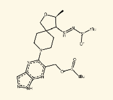 C[C@@H]1OCC2(CCN(c3nc4cn[nH]c4nc3COS(=O)C(C)(C)C)CC2)C1/[SiH]=N/[S+]([O-])C(C)(C)C